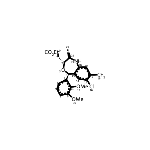 CCOC(=O)C[C@H]1O[C@H](c2cccc(OC)c2OC)c2cc(Cl)c(C(F)(F)F)cc2NC1=S